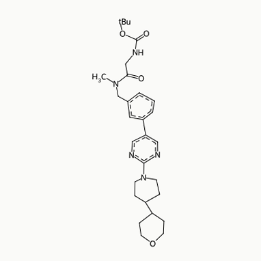 CN(Cc1cccc(-c2cnc(N3CCC(C4CCOCC4)CC3)nc2)c1)C(=O)CNC(=O)OC(C)(C)C